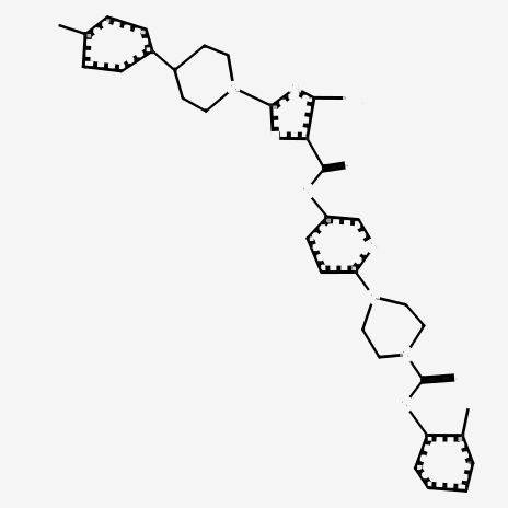 Cc1ccc(C2CCN(c3nc(C(F)(F)F)c(C(=O)Nc4ccc(N5CCN(C(=O)Nc6ccccc6F)CC5)nc4)o3)CC2)cc1